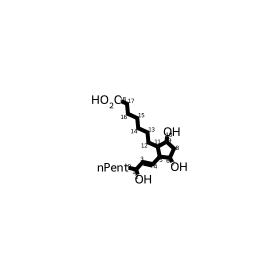 CCCCCC(O)C=CC1C(O)CC(O)C1CCCCCCC(=O)O